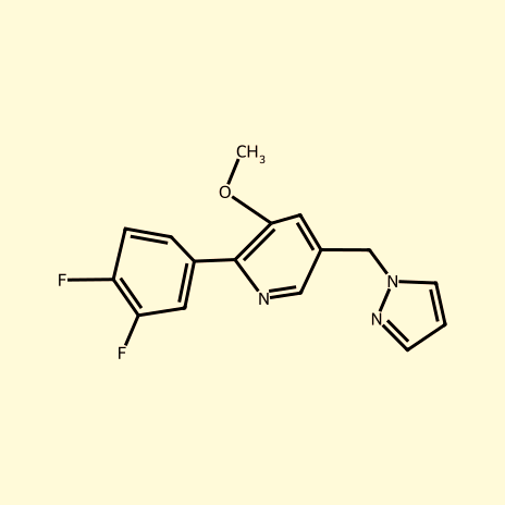 COc1cc(Cn2cccn2)cnc1-c1ccc(F)c(F)c1